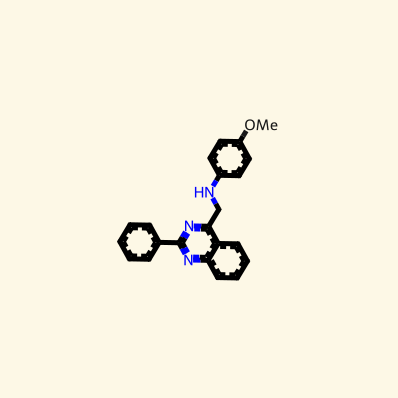 COc1ccc(NCc2nc(-c3ccccc3)nc3ccccc23)cc1